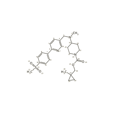 CN(Cc1ccc(-c2ccc(S(C)(=O)=O)cc2)nc1)C1CCN(C(=O)OCC2(C)CC2)CC1